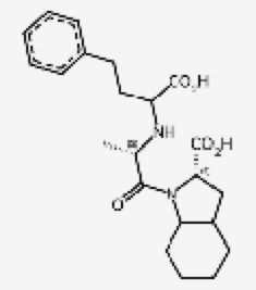 C[C@H](NC(CCc1ccccc1)C(=O)O)C(=O)N1C2CCCCC2C[C@H]1C(=O)O